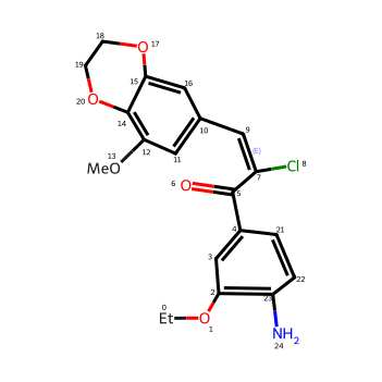 CCOc1cc(C(=O)/C(Cl)=C\c2cc(OC)c3c(c2)OCCO3)ccc1N